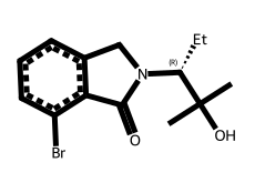 CC[C@@H](N1Cc2cccc(Br)c2C1=O)C(C)(C)O